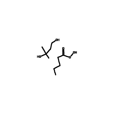 CC(C)(O)CCO.CCCCC(=O)OO